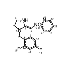 O=[N+]([O-])C=C1NCCN1Cc1ccc(F)cc1F.c1ccncc1